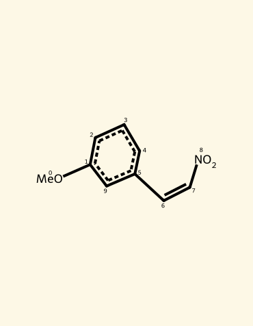 COc1cccc(/C=C\[N+](=O)[O-])c1